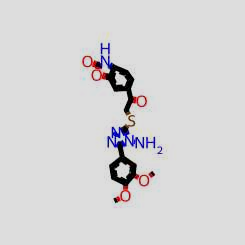 COc1ccc(-c2nnc(SCC(=O)c3ccc4[nH]c(=O)oc4c3)n2N)cc1OC